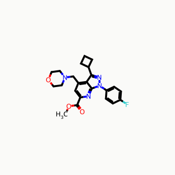 COC(=O)c1cc(CN2CCOCC2)c2c(C3CCC3)nn(-c3ccc(F)cc3)c2n1